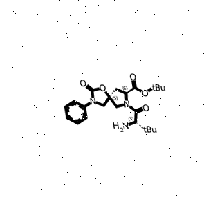 CC(C)(C)OC(=O)[C@@H]1C[C@@]2(CN(c3ccccc3)C(=O)O2)CN1C(=O)[C@@H](N)C(C)(C)C